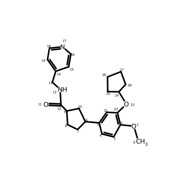 COc1ccc(C2CCC(C(=O)NCc3ccncc3)C2)cc1OC1CCCC1